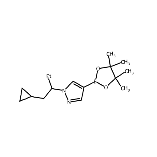 CCC(CC1CC1)n1cc(B2OC(C)(C)C(C)(C)O2)cn1